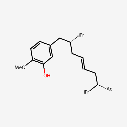 COc1ccc(C[C@@H](C/C=C/C[C@H](C(C)=O)C(C)C)C(C)C)cc1O